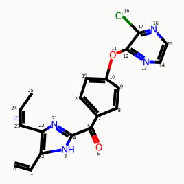 C=Cc1[nH]c(C(=O)c2ccc(Oc3nccnc3Cl)cc2)nc1/C=C\C